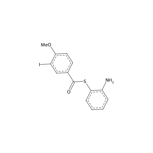 COc1ccc(C(=O)Sc2ccccc2N)cc1I